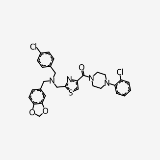 O=C(c1csc(CN(Cc2ccc(Cl)cc2)Cc2ccc3c(c2)OCO3)n1)N1CCN(c2ccccc2Cl)CC1